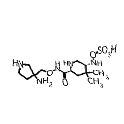 CC1(C)C[C@@H](C(=O)NOCC2(N)CCNC2)NC[C@@H]1NOS(=O)(=O)O